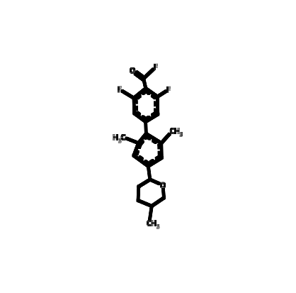 Cc1cc(C2CCC(C)CO2)cc(C)c1-c1cc(F)c(C(=O)F)c(F)c1